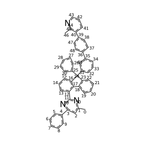 Cc1cc(-c2ccccc2)nc(-c2cccc3c2-c2ccccc2C3(c2ccccc2)c2cccc(-c3ccc(-c4cccnc4C)cc3)c2)n1